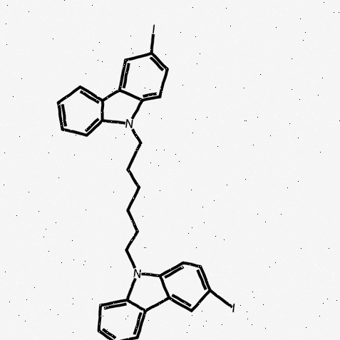 Ic1ccc2c(c1)c1ccccc1n2CCCCCCn1c2ccccc2c2cc(I)ccc21